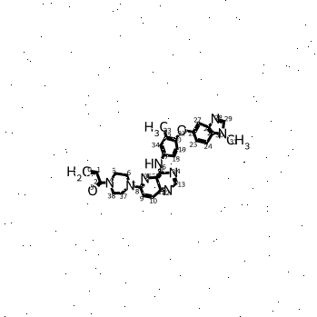 C=CC(=O)N1CCN(c2ccc3ncnc(Nc4ccc(Oc5ccc6c(c5)ncn6C)c(C)c4)c3n2)CC1